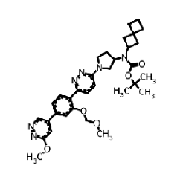 COCOc1cc(-c2cnnc(OC)c2)ccc1-c1ccc(N2CCC(N(C(=O)OC(C)(C)C)C3CC4(CCC4)C3)C2)nn1